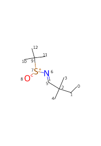 CCC(C)(C)C=N[S+]([O-])C(C)(C)C